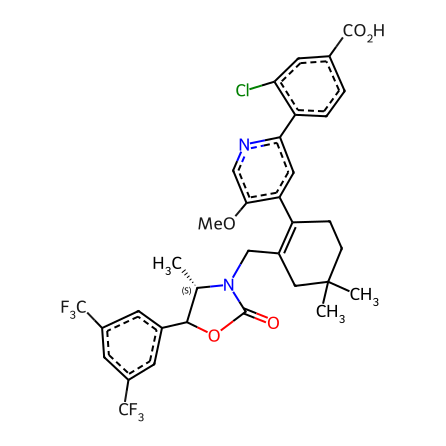 COc1cnc(-c2ccc(C(=O)O)cc2Cl)cc1C1=C(CN2C(=O)OC(c3cc(C(F)(F)F)cc(C(F)(F)F)c3)[C@@H]2C)CC(C)(C)CC1